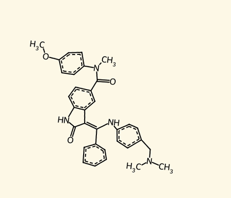 COc1ccc(N(C)C(=O)c2ccc3c(c2)C(=C(Nc2ccc(CN(C)C)cc2)c2ccccc2)C(=O)N3)cc1